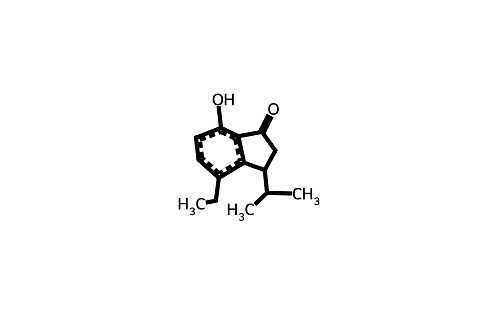 CCc1ccc(O)c2c1C(C(C)C)CC2=O